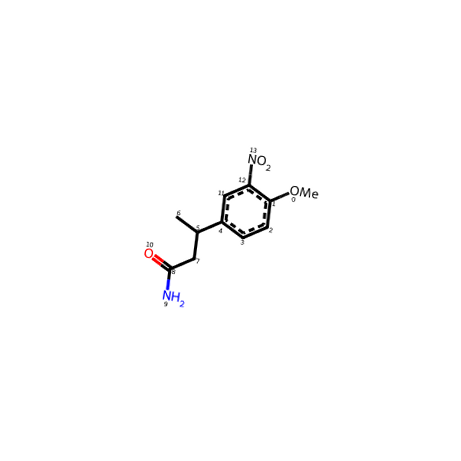 COc1ccc(C(C)CC(N)=O)cc1[N+](=O)[O-]